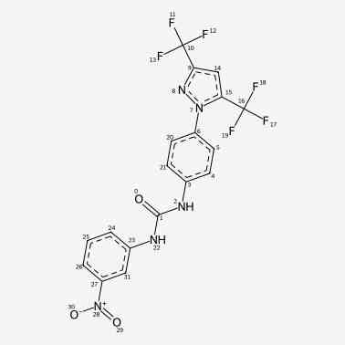 O=C(Nc1ccc(-n2nc(C(F)(F)F)cc2C(F)(F)F)cc1)Nc1cccc([N+](=O)[O-])c1